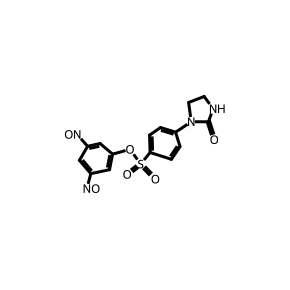 O=Nc1cc(N=O)cc(OS(=O)(=O)c2ccc(N3CCNC3=O)cc2)c1